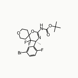 CC(C)(C)OC(=O)NC1=N[C@@](C)(c2cc(Br)ccc2F)C(F)(F)C2(CCOCC2)O1